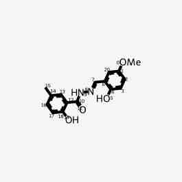 COc1ccc(O)c(/C=N/NC(=O)c2cc(C)ccc2O)c1